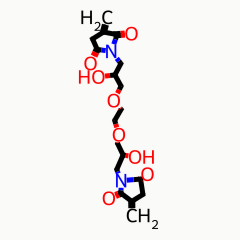 C=C1CC(=O)N(CC(O)COCCOCC(O)CN2C(=O)CC(=C)C2=O)C1=O